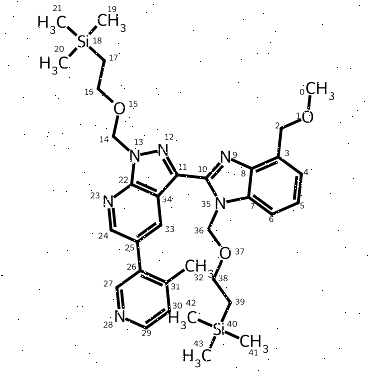 COCc1cccc2c1nc(-c1nn(COCC[Si](C)(C)C)c3ncc(-c4cnccc4C)cc13)n2COCC[Si](C)(C)C